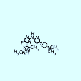 CNc1nc(C)c(-c2nc(Nc3ccc(N4CCC(N(C)C)CC4)cn3)ncc2F)s1